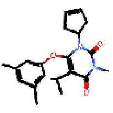 Cc1cc(C)cc(Oc2c(C(C)C)c(=O)n(C)c(=O)n2C2CC=CC2)c1